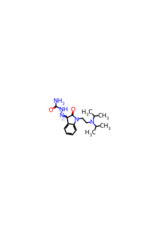 CC(C)N(CCN1C(=O)/C(=N\NC(N)=O)c2ccccc21)C(C)C